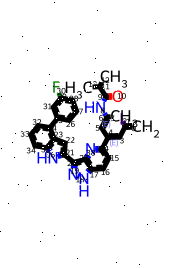 C=C(I)/C=C(\C=C(/C)NC(=O)C(C)C)c1ccc2[nH]nc(-c3cc4c(-c5cccc(F)c5)cccc4[nH]3)c2n1